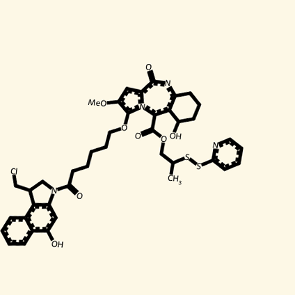 COc1cc2c(=O)nc3c(c(C(=O)OCC(C)SSc4ccccn4)n2c1OCCCCCC(=O)N1CC(CCl)c2c1cc(O)c1ccccc21)C(O)CCC3